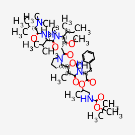 CC[C@H](C)[C@@H]([C@@H](CC(=O)N1CCC[C@H]1[C@H](OC)[C@@H](C)C(=O)N[C@@H](Cc1ccccc1)C(=O)OC(C)CNC(=O)OC(C)(C)C)OC)N(C)C(=O)[C@@H](NC(=O)[C@H](C(C)C)N(C)C)C(C)C